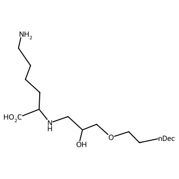 CCCCCCCCCCCCOCC(O)CNC(CCCCN)C(=O)O